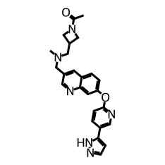 CC(=O)N1CC(CN(C)Cc2cnc3cc(Oc4ccc(-c5ccn[nH]5)cn4)ccc3c2)C1